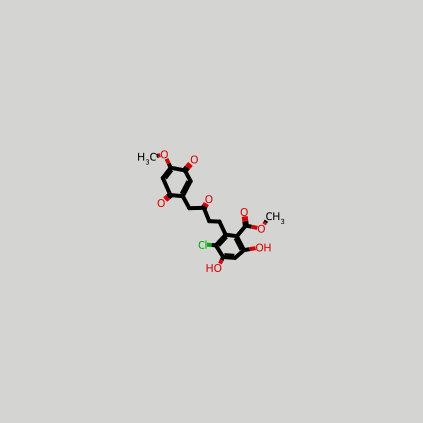 COC(=O)c1c(O)cc(O)c(Cl)c1CCC(=O)CC1=CC(=O)C(OC)=CC1=O